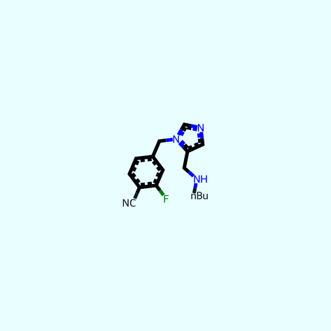 CCCCNCc1cncn1Cc1ccc(C#N)c(F)c1